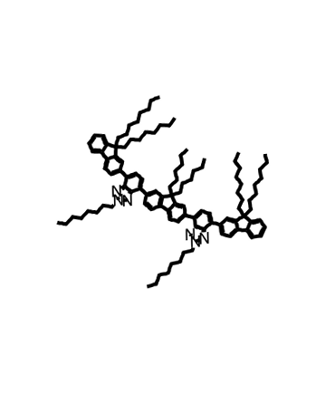 CCCCCCCCn1nc2c(-c3ccc4c(c3)C(CCCCCC)(CCCCCC)c3cc(-c5ccc(-c6ccc7c(c6)C(CCCCCCCC)(CCCCCCCC)c6ccccc6-7)c6nn(CCCCCCCC)nc56)ccc3-4)ccc(-c3ccc4c(c3)C(CCCCCCCC)(CCCCCCCC)c3ccccc3-4)c2n1